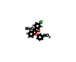 COC(C(=O)Oc1cccc([N+](=O)[O-])c1)(c1ccccc1)c1ccc(Cl)cc1